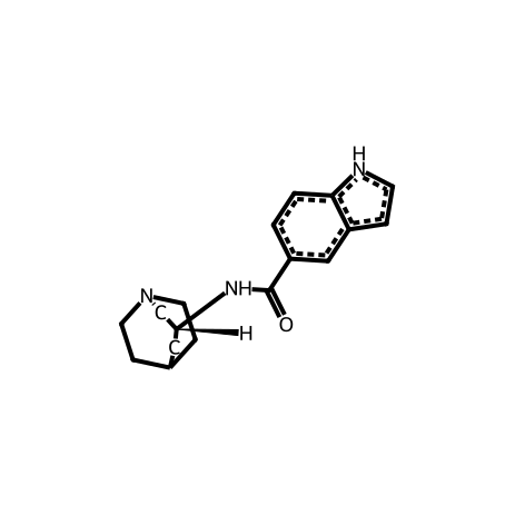 O=C(N[C@@H]1CC2CCN(CC2)C1)c1ccc2[nH]ccc2c1